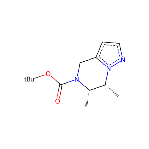 C[C@@H]1[C@H](C)N(C(=O)OC(C)(C)C)Cc2ccnn21